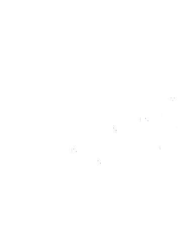 COC(=O)NC(C(=O)N1CC(COC(F)F)CC1c1ncc(-c2ccc(Br)cc2)[nH]1)C(C)C